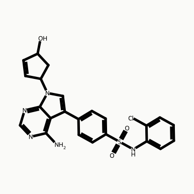 Nc1ncnc2c1c(-c1ccc(S(=O)(=O)Nc3ccccc3Cl)cc1)cn2C1C=CC(O)C1